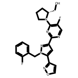 OC[C@H]1CCCN1c1nc(-c2cc(-c3ccon3)n(Cc3ccccc3F)n2)ncc1F